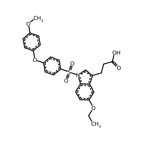 CCOc1ccc2c(c1)c(CCC(=O)O)cn2S(=O)(=O)c1ccc(Oc2ccc(OC)cc2)cc1